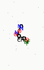 Cc1cc2onc(OCc3ncccn3)c2cc1-c1ccc(OC(F)(F)F)cc1